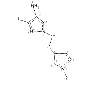 Cc1nn(CCc2ccn(C)n2)cc1N